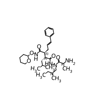 CC[C@H](C)CN(NC(=O)[C@H](CC(C)C)[C@H](CC=Cc1ccccc1)C(=O)NOC1CCCCO1)C(=O)[C@@H](C)N